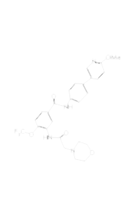 COc1ccc(-c2ccc(NC(=O)c3ccc(OC(F)(F)F)c(NC(=O)CN4CCOCC4)c3)cc2)cn1